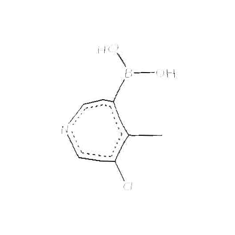 Cc1c(Cl)cncc1B(O)O